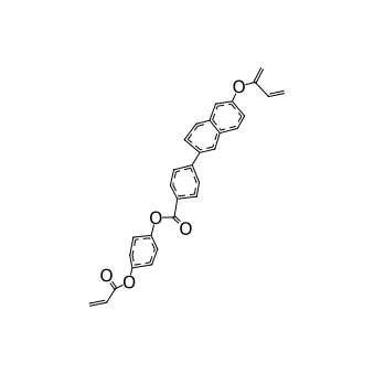 C=CC(=C)Oc1ccc2cc(-c3ccc(C(=O)Oc4ccc(OC(=O)C=C)cc4)cc3)ccc2c1